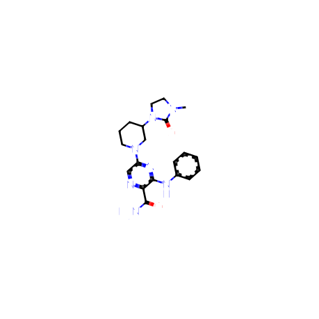 CN1CCN(C2CCCN(c3cnc(C(N)=O)c(Nc4ccccc4)n3)C2)C1=O